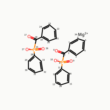 O=C(c1ccccc1)P(=O)([O-])c1ccccc1.O=C(c1ccccc1)P(=O)([O-])c1ccccc1.[Mg+2]